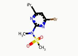 CC(C)c1cc(Br)nc(N(C)S(C)(=O)=O)n1